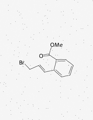 COC(=O)c1ccccc1/C=C/CBr